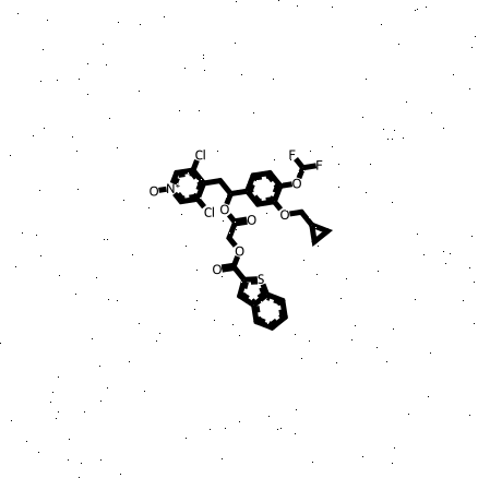 O=C(COC(=O)c1cc2ccccc2s1)OC(Cc1c(Cl)c[n+]([O-])cc1Cl)c1ccc(OC(F)F)c(OCC2CC2)c1